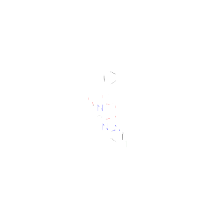 Cc1nc(N(C)C(=O)[C@@H]2CCC(=O)N2C(=O)OCc2ccccc2)ccc1F